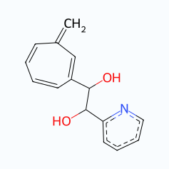 C=C1C=CC=CC(C(O)C(O)c2ccccn2)=C1